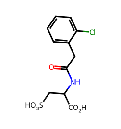 O=C(Cc1ccccc1Cl)NC(CS(=O)(=O)O)C(=O)O